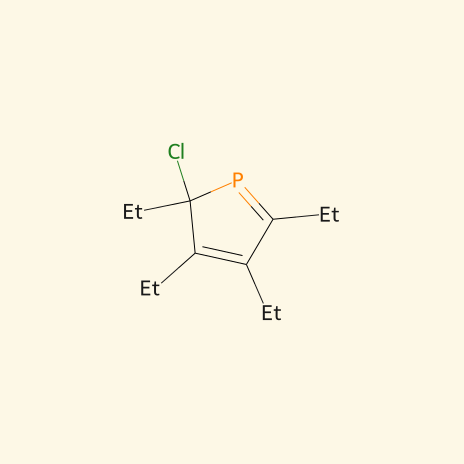 CCC1=PC(Cl)(CC)C(CC)=C1CC